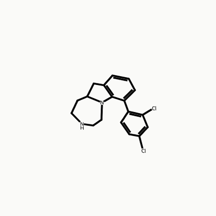 Clc1ccc(-c2cccc3c2N2CCNCCC2C3)c(Cl)c1